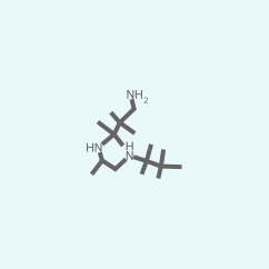 CC(CNC(C)(C)C(C)(C)C)NC(C)(C)C(C)(C)CN